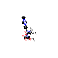 CO[C@@H]1CN(C(=O)C(CC(C)C)NC(=O)c2ccc(N3CCN(C4CCC4)CC3)cc2)[C@@H]2C(=O)CO[C@@H]21